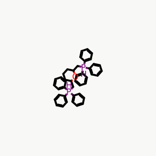 c1ccc([PH](CC2CCCC(C[PH](c3ccccc3)(c3ccccc3)c3ccccc3)O2)(c2ccccc2)c2ccccc2)cc1